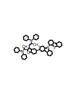 C=C(c1oc2ccc(-c3ccc4c(c3)c3ccccc3n4-c3cccc4c3sc3ccccc34)cc2c1/C=C(\C)N(c1ccccc1)c1ccccc1)N(c1ccccc1)c1ccccc1